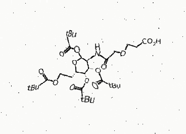 CC(C)(C)C(=O)OCC[C@@H]1OC(OC(=O)C(C)(C)C)[C@@H](NC(=O)COCCC(=O)O)[C@H](OC(=O)C(C)(C)C)[C@@H]1OC(=O)C(C)(C)C